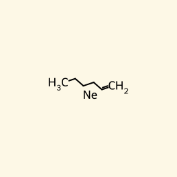 C=CCCCC.[Ne]